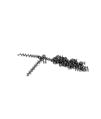 CCCCCCCCCCCCCCCCOC[C@@H](OCCCCCCCCCCCCCCCC)C(=O)NCCCCCO[C@@H]1OC(CO)[C@@H](O[C@@H]2OC(CO)[C@H](O[C@H]3OC(CO)[C@H](O)[C@H](O[C@@H]4OC(CO)[C@H](O)[C@H](O[C@@H]5OC(CO)[C@H](O)[C@H](O[C@@H]6C[C@@H](O)[C@@H](C)C([C@H](O)[C@H](O)CO)O6)C5O)C4NC(C)=O)C3O)[C@H](O)C2O)[C@H](O)C1O